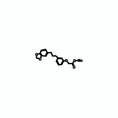 CC(C)(C)OC(=O)COc1cccc(CCCc2ccc3c(c2)OCO3)c1